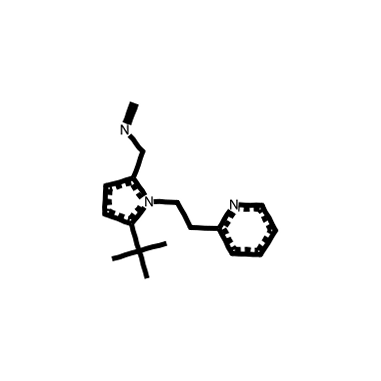 C=NCc1ccc(C(C)(C)C)n1CCc1ccccn1